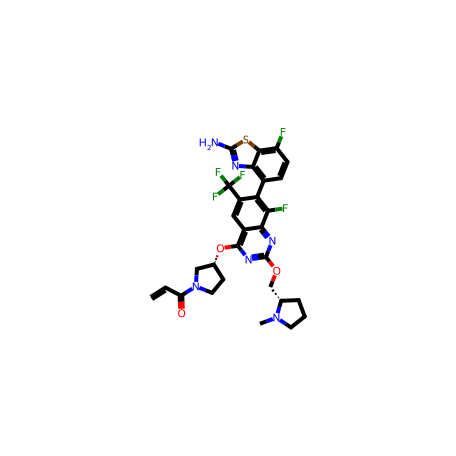 C=CC(=O)N1CC[C@@H](Oc2nc(OC[C@@H]3CCCN3C)nc3c(F)c(-c4ccc(F)c5sc(N)nc45)c(C(F)(F)F)cc23)C1